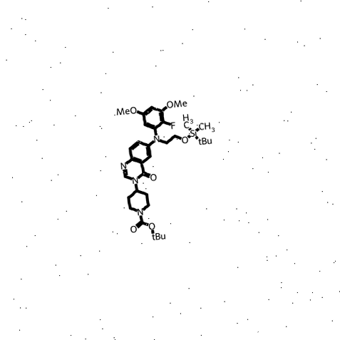 COc1cc(OC)c(F)c(N(CCO[Si](C)(C)C(C)(C)C)c2ccc3ncn(C4CCN(C(=O)OC(C)(C)C)CC4)c(=O)c3c2)c1